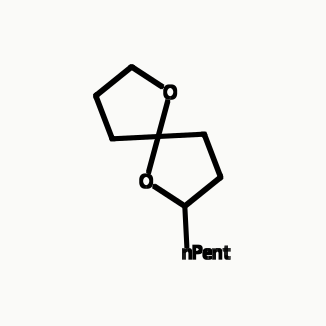 CCCCCC1CCC2(CCCO2)O1